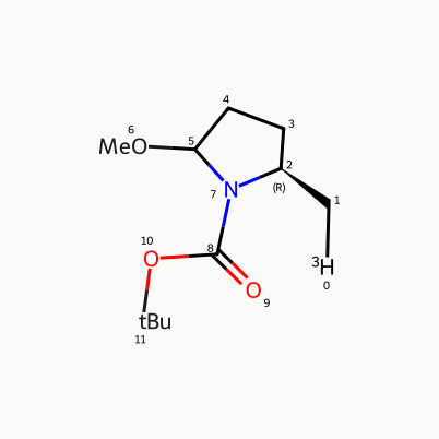 [3H]C[C@@H]1CCC(OC)N1C(=O)OC(C)(C)C